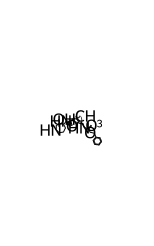 C[C@@H](CCNC(=O)OCc1ccccc1)CC(=O)NC1CCCNCC1O